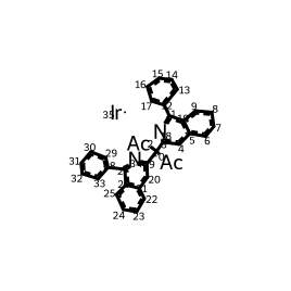 CC(=O)C(C(C)=O)(c1cc2ccccc2c(-c2ccccc2)n1)c1cc2ccccc2c(-c2ccccc2)n1.[Ir]